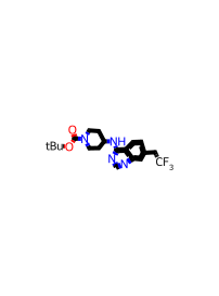 CC(C)(C)OC(=O)N1CCC(Nc2ncnc3cc(CC(F)(F)F)ccc23)CC1